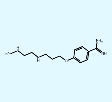 CCCNCCNCCCOc1ccc(C(=N)N)cc1